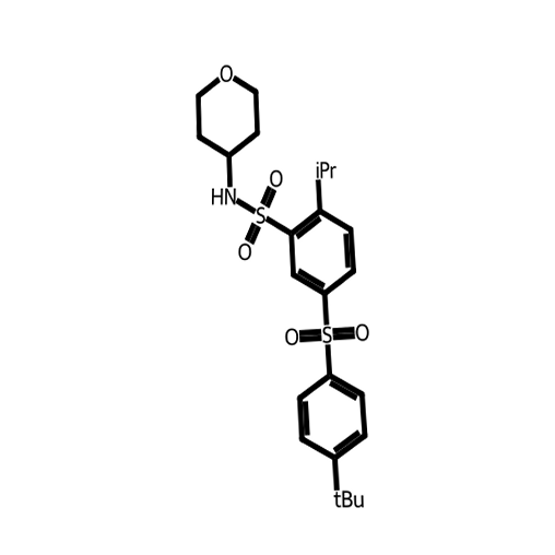 CC(C)c1ccc(S(=O)(=O)c2ccc(C(C)(C)C)cc2)cc1S(=O)(=O)NC1CCOCC1